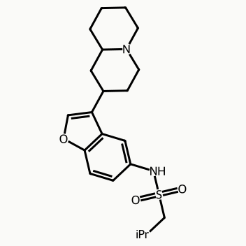 CC(C)CS(=O)(=O)Nc1ccc2occ(C3CCN4CCCCC4C3)c2c1